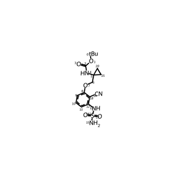 CC(C)(C)OC(=O)NC1(COc2cccc(NS(N)(=O)=O)c2C#N)CC1